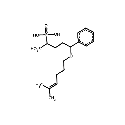 CC(C)=CCCCOC(CCC(P(=O)(O)O)S(=O)(=O)O)c1ccccc1